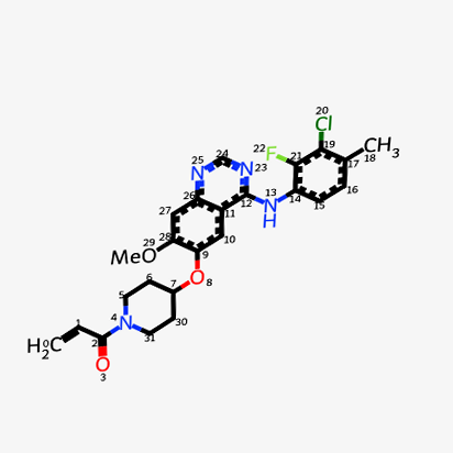 C=CC(=O)N1CCC(Oc2cc3c(Nc4ccc(C)c(Cl)c4F)ncnc3cc2OC)CC1